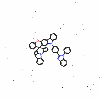 c1ccc(-n2c(-c3ccc(-n4c5ccccc5c5cc6c(cc54)C4(c5ccccc5O6)c5ccccc5-n5c6ccccc6c6cccc4c65)cc3)nc3ccccc32)cc1